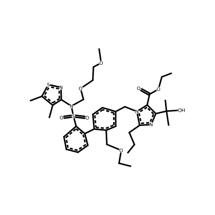 CCCc1nc(C(C)(C)O)c(C(=O)OCC)n1Cc1ccc(-c2ccccc2S(=O)(=O)N(COCCOC)c2nsc(C)c2C)c(COCC)c1